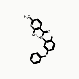 Cc1ccc(C(=O)Nc2cc(Oc3ccccc3)ccc2F)c(N)n1